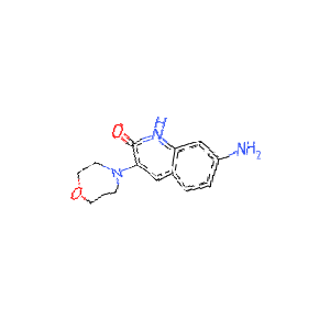 Nc1ccc2cc(N3CCOCC3)c(=O)[nH]c2c1